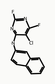 Fc1nc(F)c(Cl)c([N]c2ccc3ccccc3c2)n1